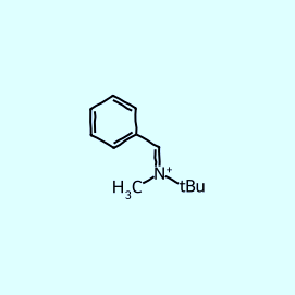 C/[N+](=C\c1ccccc1)C(C)(C)C